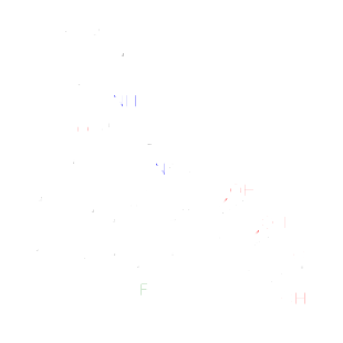 CC(C)c1cccc(-c2c(C(=O)Nc3ccccc3)cn(CC[C@@H](O)C[C@@H](O)CC(=O)O)c2-c2ccc(F)cc2)c1